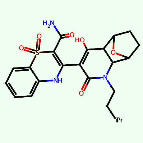 CC(C)CCN1C(=O)C(C2=C(C(N)=O)S(=O)(=O)c3c[c]ccc3N2)=C(O)C2C3CCC(O3)C21